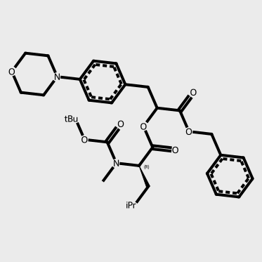 CC(C)C[C@H](C(=O)OC(Cc1ccc(N2CCOCC2)cc1)C(=O)OCc1ccccc1)N(C)C(=O)OC(C)(C)C